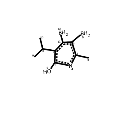 Bc1c(C)nc(O)c(C(C)C)c1B